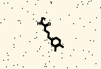 CC1=C(C)CC(CCCC(=O)NC(C)C)CC1